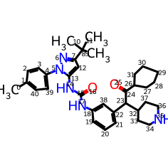 Cc1ccc(-n2nc(C(C)(C)C)cc2NC(=O)Nc2cccc(C(C(=O)C3CCCCC3)C3CCNCC3)c2)cc1